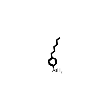 CCCCCCc1ccc([AsH2])cc1